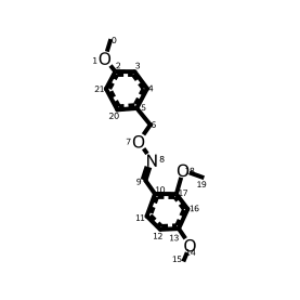 COc1ccc(CON=Cc2ccc(OC)cc2OC)cc1